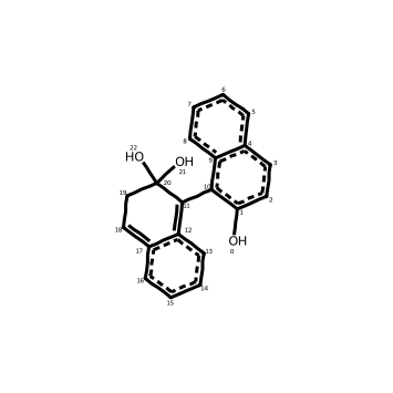 Oc1ccc2ccccc2c1C1=c2ccccc2=CCC1(O)O